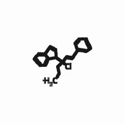 [CH2]CCC(Cl)(C=Cc1ccccc1)C1C=Cc2ccccc21